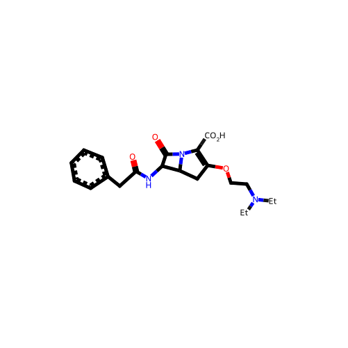 CCN(CC)CCOC1=C(C(=O)O)N2C(=O)C(NC(=O)Cc3ccccc3)C2C1